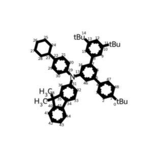 CC(C)(C)c1ccc(-c2cc(-c3cc(C(C)(C)C)cc(C(C)(C)C)c3)cc(N(c3ccc(C4CCCCC4)cc3)c3ccc4c(c3)C(C)(C)c3ccccc3-4)c2)cc1